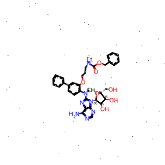 CCN(CCCOc1cc(-c2ccccc2)ccc1N(C)c1nc2c(N)ncnc2n1[C@@H]1O[C@H](CO)[C@@H](O)[C@H]1O)C(=O)OCc1ccccc1